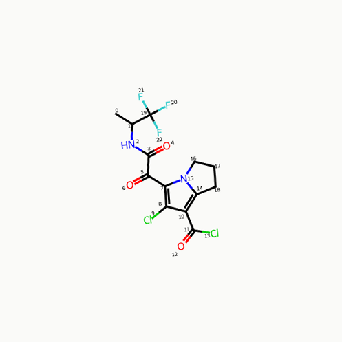 CC(NC(=O)C(=O)c1c(Cl)c(C(=O)Cl)c2n1CCC2)C(F)(F)F